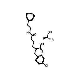 NC(O)=S.O=C(CCCN(Cc1ccc(Cl)cc1)C(O)=S)NCCc1ccccc1